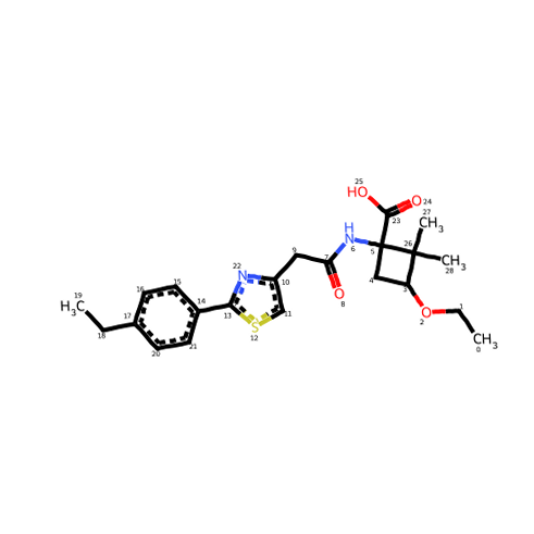 CCOC1CC(NC(=O)Cc2csc(-c3ccc(CC)cc3)n2)(C(=O)O)C1(C)C